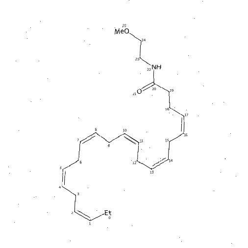 CC/C=C\C/C=C\C/C=C\C/C=C\C/C=C\C/C=C\CCC(=O)NCCOC